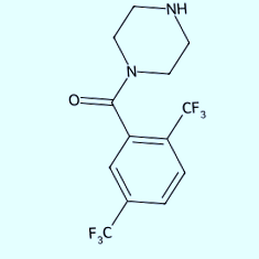 O=C(c1cc(C(F)(F)F)ccc1C(F)(F)F)N1CCNCC1